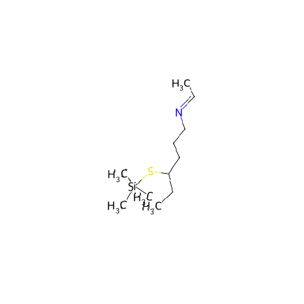 CC=NCCCC(CC)S[Si](C)(C)C